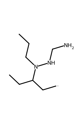 [CH2]CC(CC)N(CCC)NCN